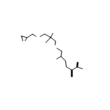 C=C(CCC(O)COCC(C)(C)COCC1CO1)C(=O)O